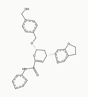 O=C(Nc1ccccc1)C1=C[C@@H](c2ccc3c(c2)OCC3)C[C@@H](OCc2ccc(CO)cc2)O1